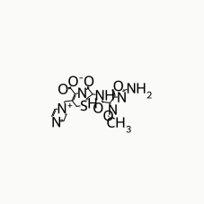 CO/N=C(\C(=O)NC1C(=O)N2C(C(=O)[O-])=C(C[n+]3ccncc3)CS[C@H]12)c1coc(N)n1